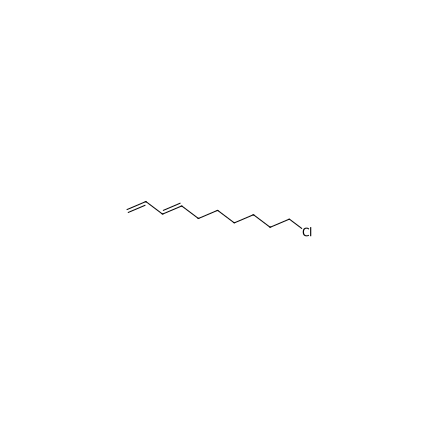 C=CC=CCCCCCCCl